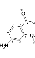 COc1cc(N)ccc1C(C)=O